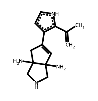 C=C(C)c1[nH]ccc1C1=CC2(N)CNCC2(N)C1